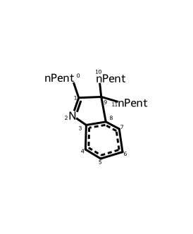 CCCCCC1=Nc2ccccc2C1(CCCCC)CCCCC